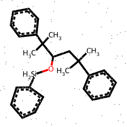 CC(C)(CC(O[SiH2]c1ccccc1)C(C)(C)c1ccccc1)c1ccccc1